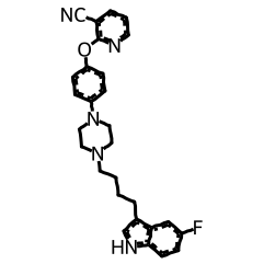 N#Cc1cccnc1Oc1ccc(N2CCN(CCCCc3c[nH]c4ccc(F)cc34)CC2)cc1